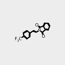 O=C1c2ccccc2C(=O)N1/C=C/c1ccc(C(F)(F)F)cc1